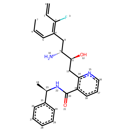 C=C/C(F)=C(\C=C/C)C[C@@H](N)[C@@H](O)Cc1ncccc1C(=O)N[C@H](C)c1ccccc1